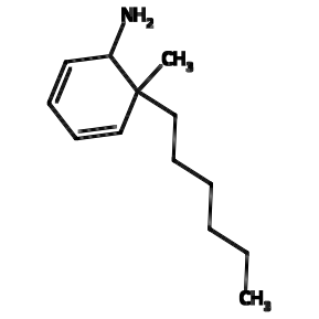 CCCCCCC1(C)C=CC=CC1N